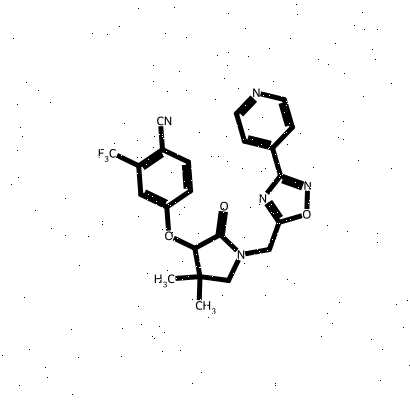 CC1(C)CN(Cc2nc(-c3ccncc3)no2)C(=O)C1Oc1ccc(C#N)c(C(F)(F)F)c1